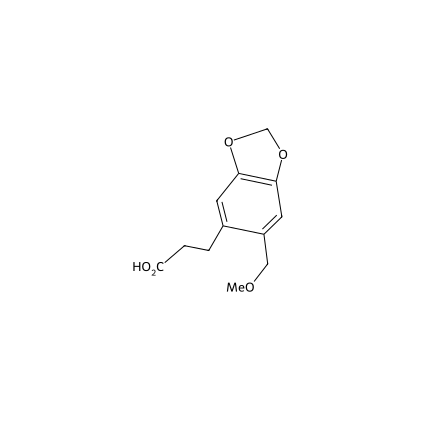 COCc1cc2c(cc1CCC(=O)O)OCO2